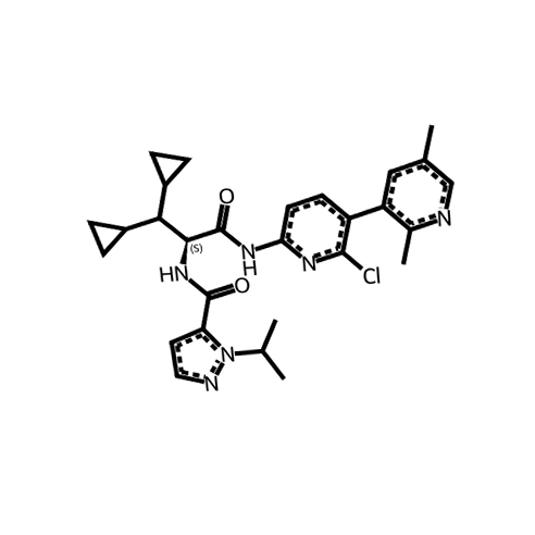 Cc1cnc(C)c(-c2ccc(NC(=O)[C@@H](NC(=O)c3ccnn3C(C)C)C(C3CC3)C3CC3)nc2Cl)c1